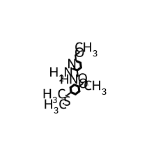 COCc1ccc(C(=O)Nc2cc(C(C)SC)ccc2OC)c(N)n1